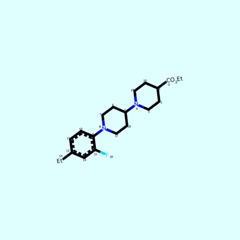 CCOC(=O)C1CCN(C2CCN(c3ccc(CC)cc3F)CC2)CC1